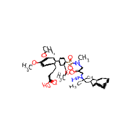 CCc1cc(-c2cc(OC)c(OC)cc2CCC(=O)O)ccc1S(=O)(=O)N(C)C[C@H](O)CNC(C)(C)CC1Cc2ccccc2C1